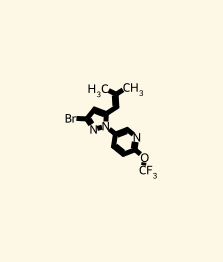 CC(C)=Cc1cc(Br)nn1-c1ccc(OC(F)(F)F)nc1